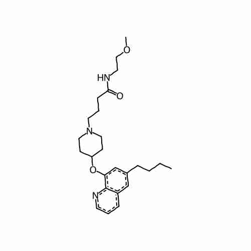 CCCCc1cc(OC2CCN(CCCC(=O)NCCOC)CC2)c2ncccc2c1